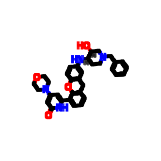 O=c1cc(N2CCOCC2)cc(-c2cccc3c2Oc2ccc(N[C@H]4CCN(Cc5ccccc5)C[C@@H]4O)cc2C3)[nH]1